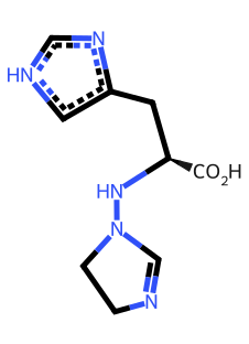 O=C(O)[C@H](Cc1c[nH]cn1)NN1C=NCC1